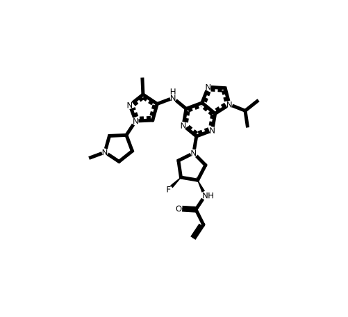 C=CC(=O)N[C@@H]1CN(c2nc(Nc3cn(C4CCN(C)C4)nc3C)c3ncn(C(C)C)c3n2)C[C@@H]1F